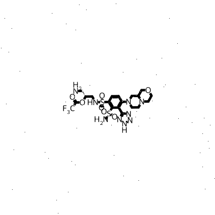 NC[C@H](CNS(=O)(=O)c1ccc(N2CCN3CCOCC3C2)c(-c2nn[nH]n2)c1S(N)(=O)=O)OC(=O)C(F)(F)F